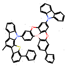 Cc1cc2c3ccccc3n(-c3ccc4c(c3)Oc3cc(-n5c6ccccc6c6ccccc65)cc5c3B4c3ccc(-c4ccccc4)cc3O5)c2c2sc3c(-c4ccccc4)cccc3c12